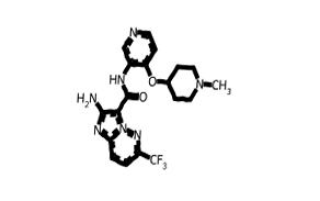 CN1CCC(Oc2ccncc2NC(=O)c2c(N)nc3ccc(C(F)(F)F)nn23)CC1